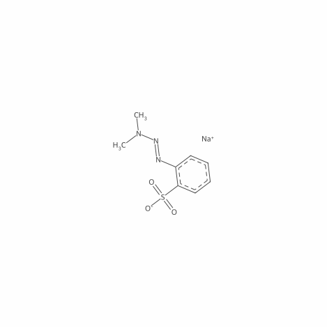 CN(C)N=Nc1ccccc1S(=O)(=O)[O-].[Na+]